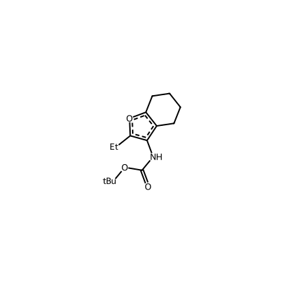 CCc1oc2c(c1NC(=O)OC(C)(C)C)CCCC2